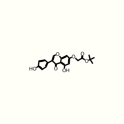 CC(C)(C)OC(=O)COc1cc(O)c2c(=O)c(-c3ccc(O)cc3)coc2c1